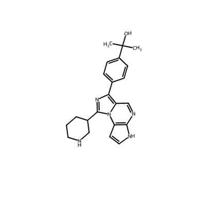 CC(C)(O)c1ccc(-c2nc(C3CCCNC3)n3c2cnc2[nH]ccc23)cc1